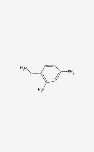 NCc1ccc(P)cc1P